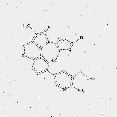 CCn1cc(-n2c(=O)n(C)c3cnc4ccc(-c5cnc(N)c(COC)c5)cc4c32)c(C)n1